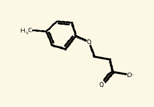 Cc1ccc(OCCC([O])=O)cc1